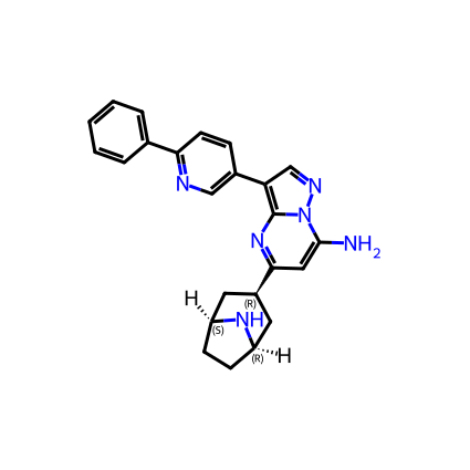 Nc1cc([C@H]2C[C@H]3CC[C@@H](C2)N3)nc2c(-c3ccc(-c4ccccc4)nc3)cnn12